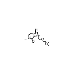 CCn1ccc2[nH]c[n+](COCC[Si](C)(C)C)c2c1=O